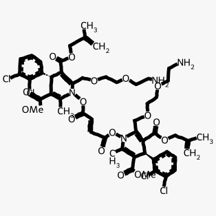 C=C(C)COC(=O)C1=C(COCCOCCN)N(OC(=O)/C=C/C(=O)ON2C(C)=C(C(=O)OC)[C@H](c3cccc(Cl)c3Cl)C(C(=O)OCC(=C)C)=C2COCCOCCN)C(C)=C(C(=O)OC)[C@@H]1c1cccc(Cl)c1Cl